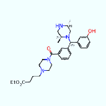 CCOC(=O)CCCN1CCN(C(=O)c2cccc([C@H](c3cccc(O)c3)N3C[C@@H](C)NC[C@@H]3C)c2)CC1